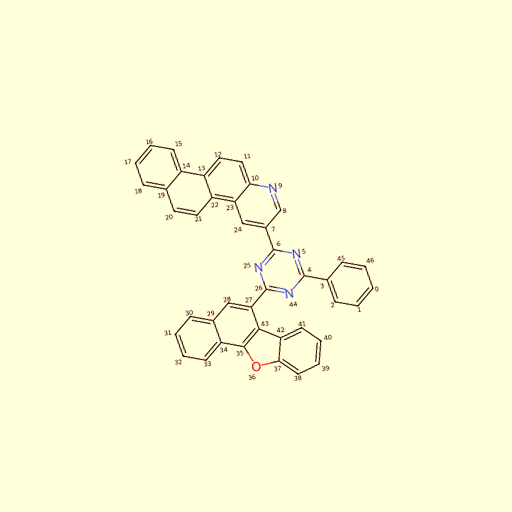 c1ccc(-c2nc(-c3cnc4ccc5c6ccccc6ccc5c4c3)nc(-c3cc4ccccc4c4oc5ccccc5c34)n2)cc1